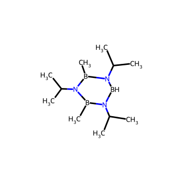 CB1N(C(C)C)BN(C(C)C)B(C)N1C(C)C